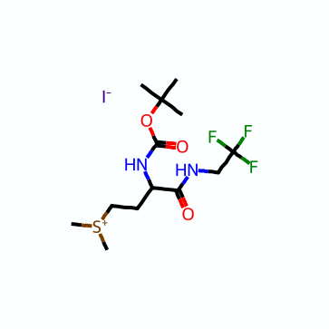 C[S+](C)CCC(NC(=O)OC(C)(C)C)C(=O)NCC(F)(F)F.[I-]